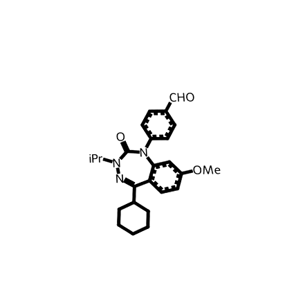 COc1ccc2c(c1)N(c1ccc(C=O)cc1)C(=O)N(C(C)C)N=C2C1CCCCC1